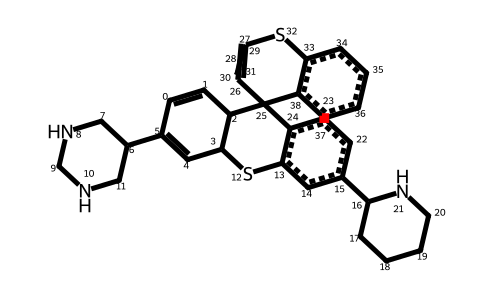 C1=CC2C(C=C1C1CNCNC1)Sc1cc(C3CCCCN3)ccc1C21C2=C(CCCC2)Sc2ccccc21